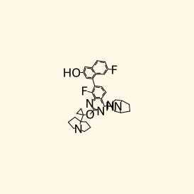 Oc1cc(-c2ccc3c(N4CC5CCC(C4)N5)nc(OC4(C56CCCN5CCC6)CC4)nc3c2F)c2cc(F)ccc2c1